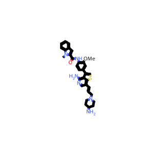 COc1cc(-c2csc3c(C=CCN4CCC(N)CC4)cnc(N)c23)ccc1NC(=O)c1cc2ccccc2n1C